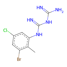 Cc1c(Br)cc(Cl)cc1NC(=N)NC(=N)N